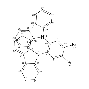 Brc1cc(-n2c3ccccc3c3ccccc32)c(-n2c3ccccc3c3ccccc32)cc1Br